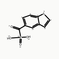 O=C(c1ccc2sccc2c1)P(=O)(O)O